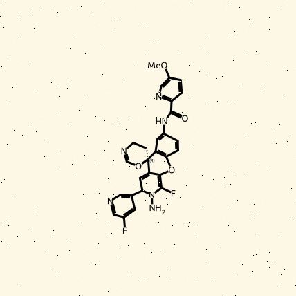 COc1ccc(C(=O)Nc2ccc3c(c2)[C@@]2(CCN=CO2)C2=CC(c4cncc(F)c4)N(N)C(F)=C2O3)nc1